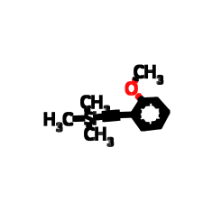 COc1ccccc1C#C[Si](C)(C)C